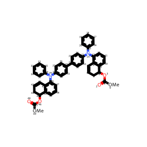 COC(=O)OC1CC=Cc2c1cccc2N(c1ccccc1)c1ccc(-c2ccc(N(c3ccccc3)c3cccc4c3C=CCC4OC(=O)OC)cc2)cc1